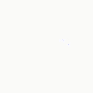 CCCCCCCCCCCCc1nc2c(C)c(C)ccc2[nH]1